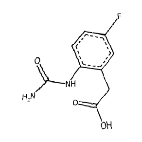 NC(=O)Nc1ccc(F)cc1CC(=O)O